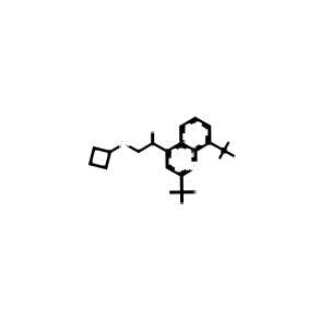 OC(CNC1CCC1)c1cc(C(F)(F)F)nc2c(C(F)(F)F)cccc12